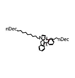 CCCCCCCCCCCCCCCCCCCN1C=CN(CCCCCCCCCCCCCC)C1(Cc1ccccc1)C(CC)c1ccccc1